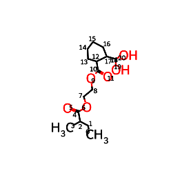 CCC(C)C(=O)OCCOC(=O)C1CCCCC1C(O)O